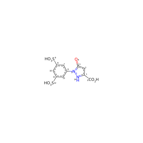 O=C(O)c1cc(=O)n(-c2cc(S(=O)(=O)O)cc(S(=O)(=O)O)c2)[nH]1